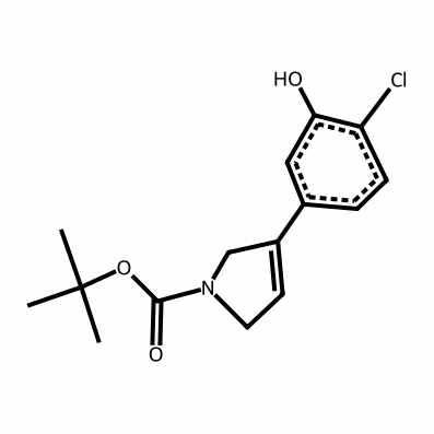 CC(C)(C)OC(=O)N1CC=C(c2ccc(Cl)c(O)c2)C1